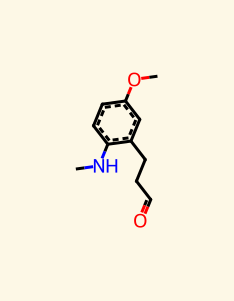 CNc1ccc(OC)cc1CCC=O